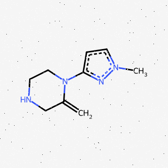 C=C1CNCCN1c1ccn(C)n1